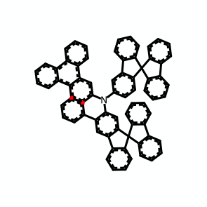 c1ccc(-c2cc3c(cc2N(c2ccc4c(c2)-c2ccccc2C42c4ccccc4-c4ccccc42)c2ccc4c5ccccc5c5ccccc5c4c2)C2(c4ccccc4-c4ccccc42)c2ccccc2-3)cc1